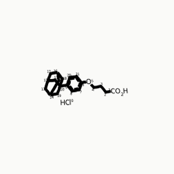 Cl.O=C(O)CCCOc1ccc(C23CC4CC(CC(C4)C2)C3)cc1